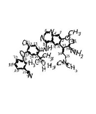 COc1cc2ncnc(Nc3cc(Cl)c(Oc4cccc(C#N)c4)cc3C(C)(C)O)c2cc1C(=CCN(C)C)C(N)=O